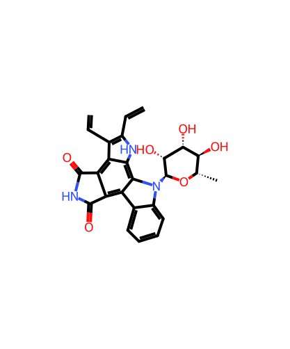 C=Cc1[nH]c2c(c1C=C)c1c(c3c4ccccc4n([C@@H]4O[C@@H](C)[C@H](O)[C@@H](O)[C@H]4O)c23)C(=O)NC1=O